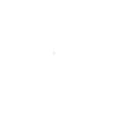 CC(C)[C@H]1CC[C@H](C)C[C@@H]1OC1OCC2=C3C=CC(C3)C21